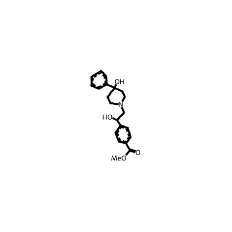 COC(=O)c1ccc(C(O)CN2CCC(O)(c3ccccc3)CC2)cc1